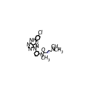 CN(C)C/C=C/C(=O)N(C)c1cccc(-n2nc(-c3ccc(Cl)cc3)c3c(N)ncnc32)c1